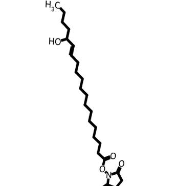 CCCCC(O)C=CCCCCCCCCCCCCC(=O)ON1C(=O)CCC1=O